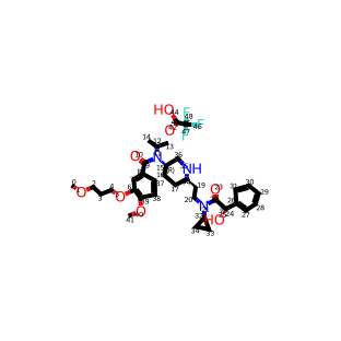 COCCCOc1cc(C(=O)N(C(C)C)[C@@H]2CC[C@H](CCN(C(=O)[C@H](O)c3ccccc3)C3CC3)NC2)ccc1OC.O=C(O)C(F)(F)F